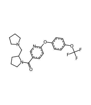 O=C(c1ccc(Oc2ccc(OC(F)(F)F)cc2)nc1)N1CCCC1CN1CCCC1